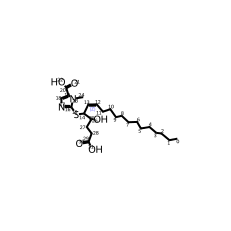 CCCCCCCCCCCC/C=C\C(Sc1ncc(C(=O)O)n1C)C(O)CCC(=O)O